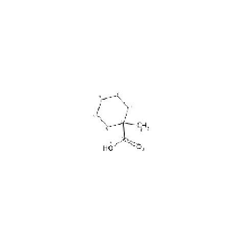 CC1(C(=O)O)CC[CH]CC1